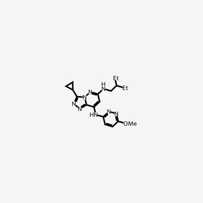 CCC(CC)CNc1cc(Nc2ccc(OC)nn2)c2nnc(C3CC3)n2n1